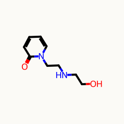 O=c1ccccn1CCNCCO